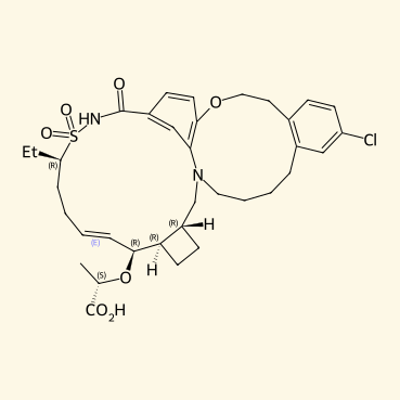 CC[C@@H]1CC/C=C/[C@H](O[C@@H](C)C(=O)O)[C@@H]2CC[C@H]2CN2CCCCc3cc(Cl)ccc3CCOc3ccc(cc32)C(=O)NS1(=O)=O